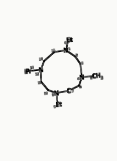 CCN1CCN(C)CCN(CC)CCN(C(C)C)CC1